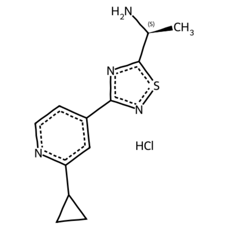 C[C@H](N)c1nc(-c2ccnc(C3CC3)c2)ns1.Cl